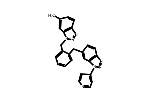 Cc1ccc2nnn(Cc3ccccc3Cc3ccc4nnn(-c5ccncc5)c4c3)c2c1